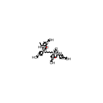 CCCC(Nc1nc(Cl)nc(N(CCCCCCN(c2nc(Cl)nc(NC(CCC)C3CC(C)(C)N(OCC(C)(C)O)C(C)(C)C3)n2)C2CC(C)(C)N(OCC(C)(C)O)C(C)(C)C2)C2CC(C)(C)N(OCC(C)(C)O)C(C)(C)C2)n1)C1CC(C)(C)N(OCC(C)(C)O)C(C)(C)C1